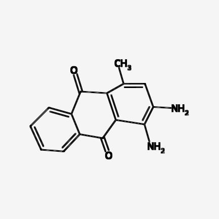 Cc1cc(N)c(N)c2c1C(=O)c1ccccc1C2=O